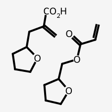 C=C(CC1CCCO1)C(=O)O.C=CC(=O)OCC1CCCO1